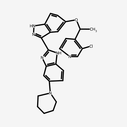 CC(Oc1ccc2[nH]nc(-c3nc4cc(N5CCCCC5)ccc4[nH]3)c2c1)c1ccncc1Cl